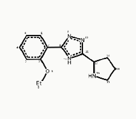 CCOc1ccccc1-c1nnc(C2CCCN2)[nH]1